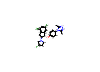 Cc1nnc(C)n1-c1ccc(O[C@H]2c3cc(Cl)cc(Cl)c3C[C@@H]2N2CC[C@@H](F)C2)cc1